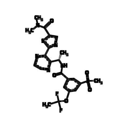 C[C@H](NC(=O)c1cc(OC(C)(F)F)cc(S(C)(=O)=O)c1)c1nccnc1-c1ncc(C(=O)N(C)C)s1